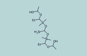 CCC(OC(C)O)[Si](C)(C)OC([SiH2])O[Si](C)(C)C(CC)OC(C)O